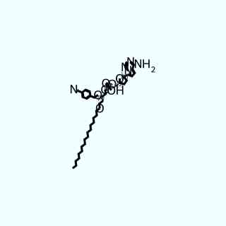 CCCCCCCCCCCCCCCCCOCC[C@H](COP(=O)(O)OC[C@@H]1CC[C@](C)(c2ccc3c(N)ncnn23)O1)OCc1ccc(C#N)cc1